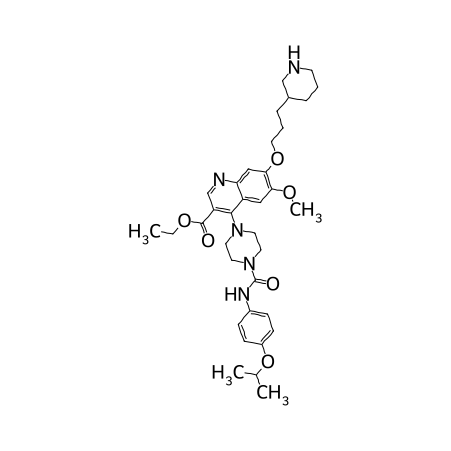 CCOC(=O)c1cnc2cc(OCCCC3CCCNC3)c(OC)cc2c1N1CCN(C(=O)Nc2ccc(OC(C)C)cc2)CC1